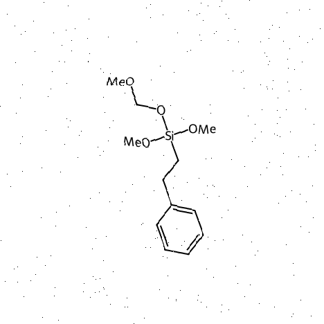 COCO[Si](CCc1ccccc1)(OC)OC